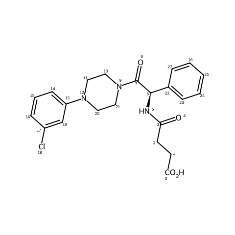 O=C(O)CCC(=O)N[C@@H](C(=O)N1CCN(c2cccc(Cl)c2)CC1)c1ccccc1